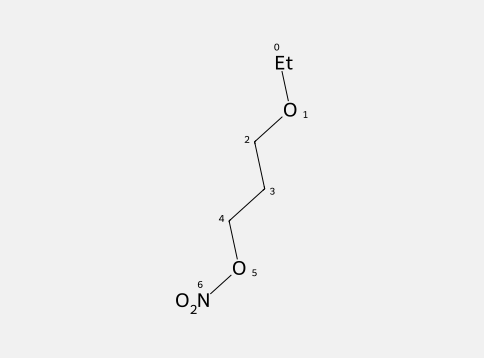 [CH2]COCCCO[N+](=O)[O-]